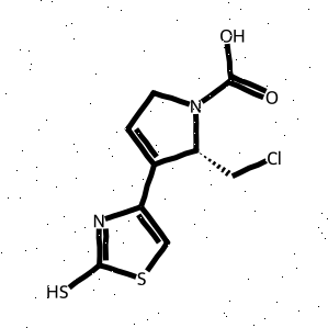 O=C(O)N1CC=C(c2csc(S)n2)[C@H]1CCl